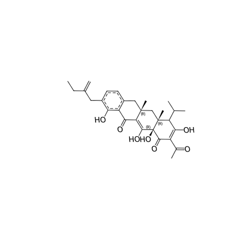 C=C(CC)Cc1ccc2c(c1O)C(=O)C1=C(O)[C@@]3(O)C(=O)C(C(C)=O)=C(O)C(C(C)C)[C@@]3(C)C[C@@]1(C)C2